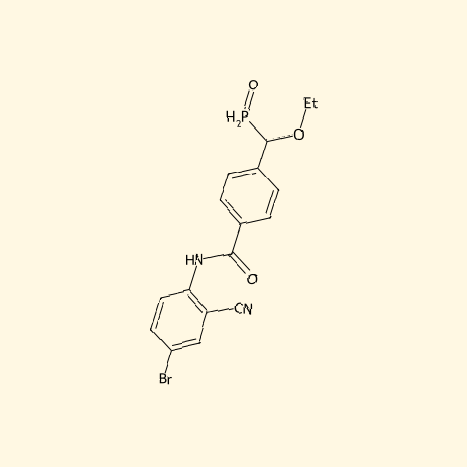 CCOC([PH2]=O)c1ccc(C(=O)Nc2ccc(Br)cc2C#N)cc1